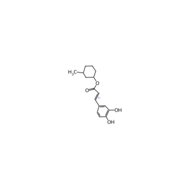 CC1CCCC(OC(=O)/C=C/c2ccc(O)c(O)c2)C1